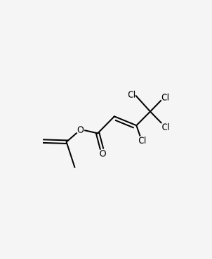 C=C(C)OC(=O)C=C(Cl)C(Cl)(Cl)Cl